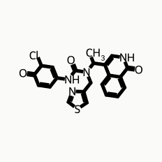 CC(c1c[nH]c(=O)c2ccccc12)N(Cc1cscn1)C(=O)NC1=CC(Cl)C(=O)C=C1